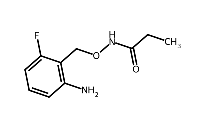 CCC(=O)NOCc1c(N)cccc1F